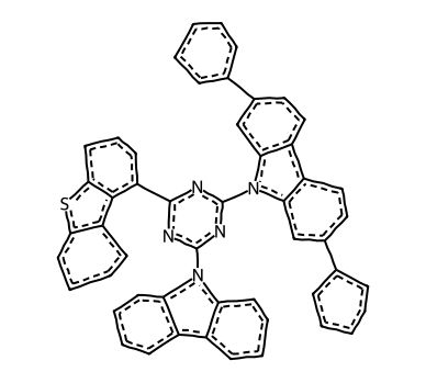 c1ccc(-c2ccc3c4ccc(-c5ccccc5)cc4n(-c4nc(-c5cccc6sc7ccccc7c56)nc(-n5c6ccccc6c6ccccc65)n4)c3c2)cc1